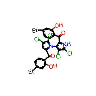 CCc1ccc(C(=O)c2[nH]c(Cl)c(Cl)c2-n2c(C(=O)c3ccc(CC)cc3O)cc(Cl)c2Cl)c(O)c1